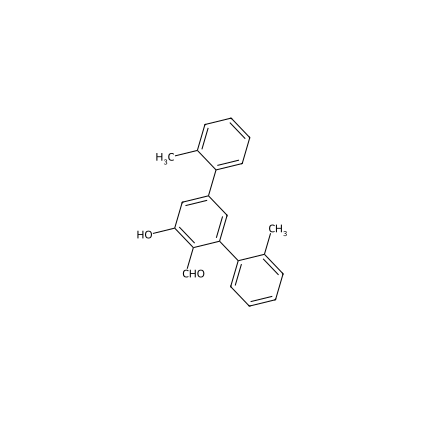 Cc1ccccc1-c1cc(O)c(C=O)c(-c2ccccc2C)c1